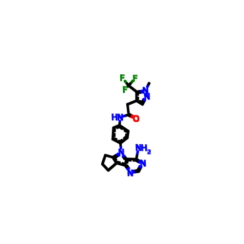 Cn1ncc(CC(=O)Nc2ccc(-n3c4c(c5ncnc(N)c53)CCC4)cc2)c1C(F)(F)F